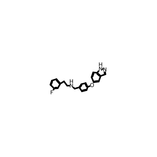 Fc1cccc(CCNCc2ccc(Oc3ccc4[nH]ncc4c3)cc2)c1